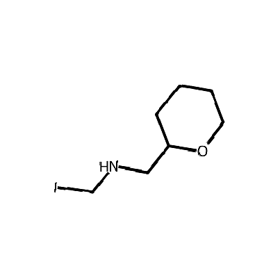 ICNCC1CCCCO1